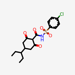 CCC(CC)C1CC(=O)C(C(=O)NS(=O)(=O)c2ccc(Cl)cc2)C(=O)C1